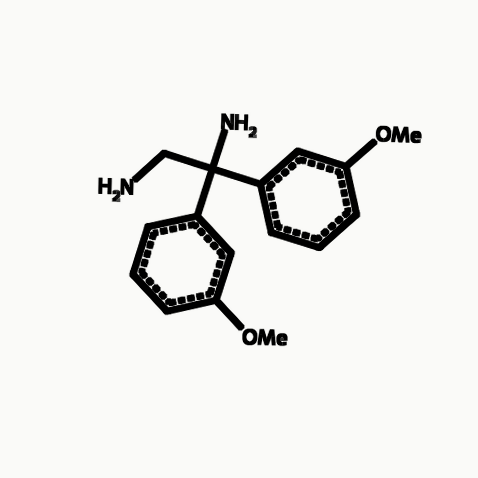 COc1cccc(C(N)(CN)c2cccc(OC)c2)c1